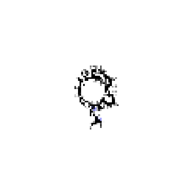 C=C1/C(=N\C=C(/C)F)OCCCN(C)C(=O)c2cnn3ccc(nc23)N2CCC[C@H]12